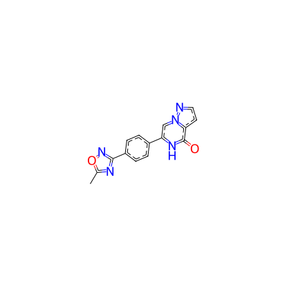 Cc1nc(-c2ccc(-c3cn4nccc4c(=O)[nH]3)cc2)no1